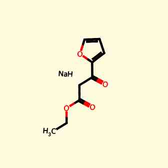 CCOC(=O)CC(=O)c1ccco1.[NaH]